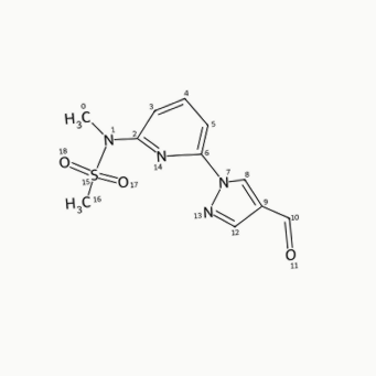 CN(c1cccc(-n2cc(C=O)cn2)n1)S(C)(=O)=O